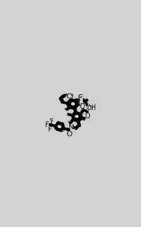 Cc1c(-c2c(C)c3c(c(C)c2[C@H](OC(C)(C)C)C(=O)O)CCN(C(=O)c2ccc(C(F)(F)F)cc2)C3)cc(F)c2c1CCCO2